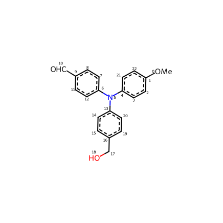 COc1ccc(N(c2ccc(C=O)cc2)c2ccc(CO)cc2)cc1